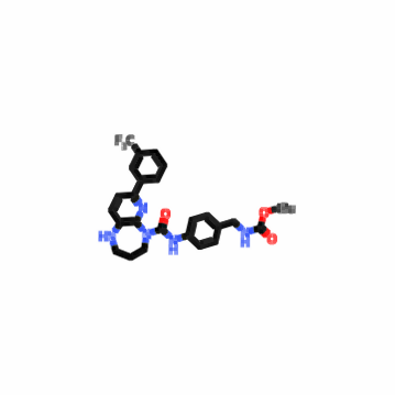 CC(C)(C)OC(=O)NCc1ccc(NC(=O)N2CCCNc3ccc(-c4cccc(C(F)(F)F)c4)nc32)cc1